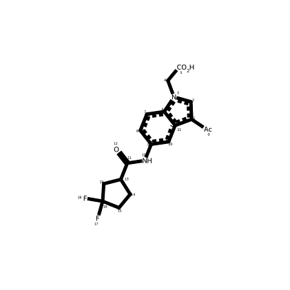 CC(=O)c1cn(CC(=O)O)c2ccc(NC(=O)C3CCC(F)(F)C3)cc12